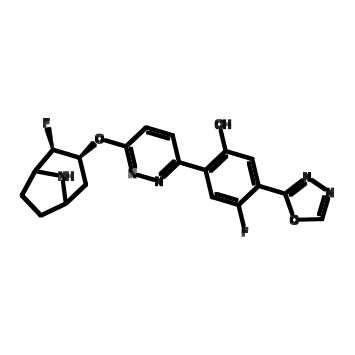 Oc1cc(-c2nnco2)c(F)cc1-c1ccc(O[C@H]2CC3CCC(N3)[C@H]2F)nn1